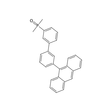 CP(C)(=O)c1cccc(-c2cccc(-c3c4ccccc4cc4ccccc34)c2)c1